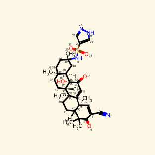 CC1(C)C(=O)C(C#N)=C[C@]2(C)C3=CC(=O)[C@]4(O)[C@@H]5C[C@@](C)(NS(=O)(=O)c6cn[nH]c6)CC[C@]5(C)CC[C@@]4(C)[C@]3(C)CC[C@@H]12